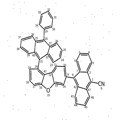 N#Cc1c2ccccc2c(-c2ccc3c(c2)oc2cccc(-c4c5ccccc5c(-c5ccccc5)c5ccccc45)c23)c2ccccc12